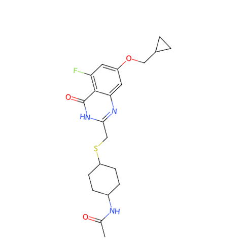 CC(=O)NC1CCC(SCc2nc3cc(OCC4CC4)cc(F)c3c(=O)[nH]2)CC1